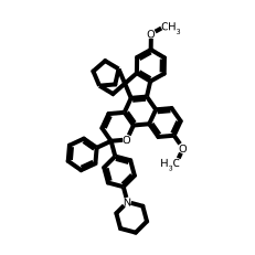 COc1ccc2c(c1)C1(CC3CCC1C3)c1c3c(c4cc(OC)ccc4c1-2)OC(c1ccccc1)(c1ccc(N2CCCCC2)cc1)C=C3